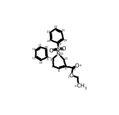 CCOC(=O)C1=CC[C@H](c2ccccc2)N(S(=O)(=O)c2ccccc2)C1